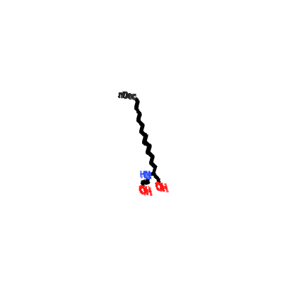 CCCCCCCCCCCCCCCCCCCCCCCC(CO)NCCO